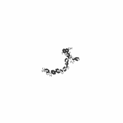 CCc1c(F)ccc2cc(O)cc(-c3ncc4c(N5CCCn6nc(C(=O)N7CCN(C(=O)CN8CCC(c9ccc(NC%10CCC(=O)NC%10=O)cc9)CC8)CC7)cc6C5)nc(OC[C@H](C)CN5C6CCC5COC6)nc4c3F)c12